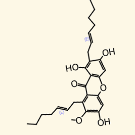 CCCC/C=C/Cc1c(O)cc2oc3cc(O)c(OC)c(C/C=C/CCCC)c3c(=O)c2c1O